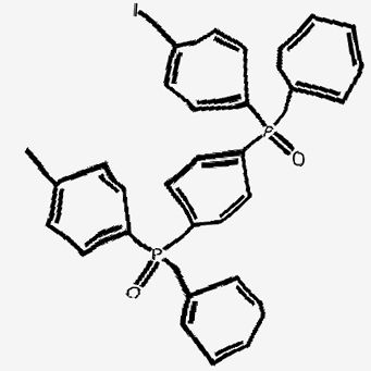 Cc1ccc(P(=O)(c2ccccc2)c2ccc(P(=O)(c3ccccc3)c3ccc(I)cc3)cc2)cc1